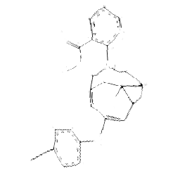 CCC12CC3=CC(Oc4ccc(Cl)cc4)=CC1C2CN(c1ncccc1C(=O)OC(C)C)C3